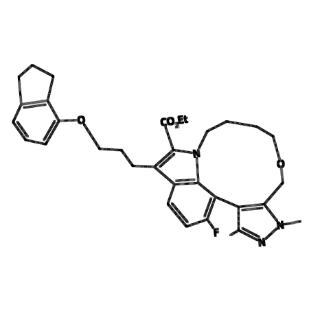 CCOC(=O)c1c(CCCOc2cccc3c2CCC3)c2ccc(F)c3c2n1CCCCOCc1c-3c(C)nn1C